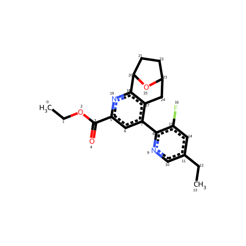 CCOC(=O)c1cc(-c2ncc(CC)cc2F)c2c(n1)C1CCC(C2)O1